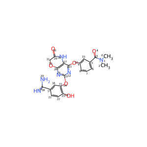 CN(C)C(=O)c1cccc(Oc2nc(Oc3cc(C(=N)N)ccc3O)nc3c2NC(=O)CO3)c1